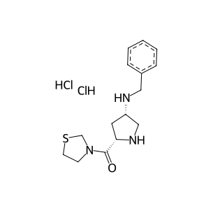 Cl.Cl.O=C([C@@H]1C[C@H](NCc2ccccc2)CN1)N1CCSC1